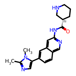 Cc1ncc(-c2ccc3cnc(NC(=O)[C@H]4CCCNC4)cc3c2)n1C